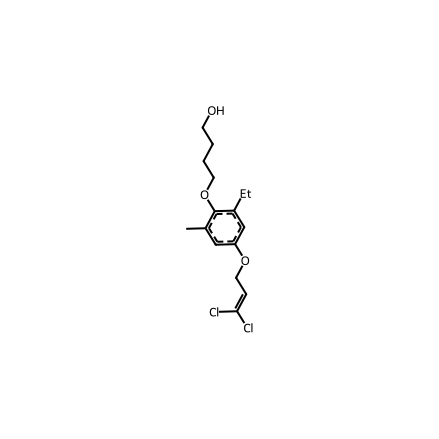 CCc1cc(OCC=C(Cl)Cl)cc(C)c1OCCCCO